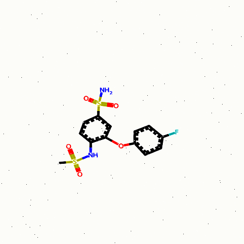 CS(=O)(=O)Nc1ccc(S(N)(=O)=O)cc1Oc1ccc(F)cc1